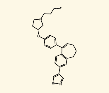 FCCCN1CC[C@H](Oc2ccc(C3=CCCCc4cc(-c5cn[nH]c5)ccc43)cc2)C1